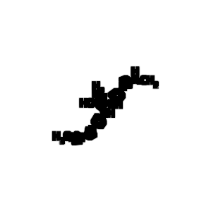 C=CNC1CCN(c2ccc(Nc3nc(N)c(O)cc3Nc3ccc(N4CCC(N5C=CN(C)C5)C4)cc3)cc2)C1